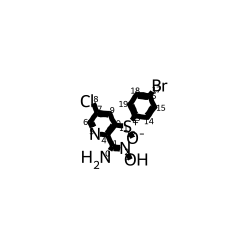 NC(=NO)c1ncc(Cl)cc1[S+]([O-])c1ccc(Br)cc1